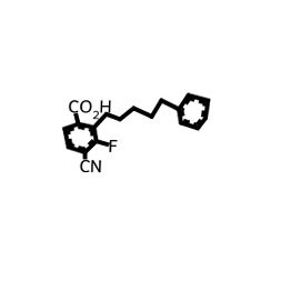 N#Cc1ccc(C(=O)O)c(CCCCCc2ccccc2)c1F